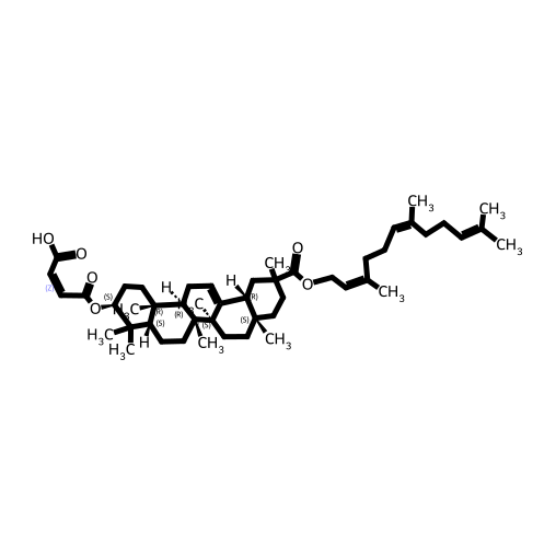 CC(C)=CCCC(C)=CCCC(C)=CCOC(=O)C1(C)CC[C@]2(C)CC[C@]3(C)C(=CC[C@@H]4[C@@]5(C)CC[C@H](OC(=O)/C=C\C(=O)O)C(C)(C)[C@H]5CC[C@]43C)[C@@H]2C1